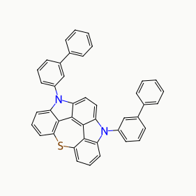 c1ccc(-c2cccc(-n3c4cccc5sc6cccc7c6c6c(c54)c3ccc6n7-c3cccc(-c4ccccc4)c3)c2)cc1